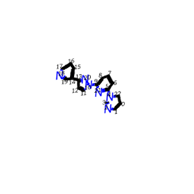 C1=CN=CN(c2cccc(-n3ccc(-c4cccnc4)n3)n2)C1